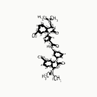 CN(C)c1nc(=O)n(-c2cccc(NC(=O)c3csc(-n4c(=O)nc(N(C)C)c5ccc(Cl)cc54)c3)c2)c2cc(Cl)ccc12